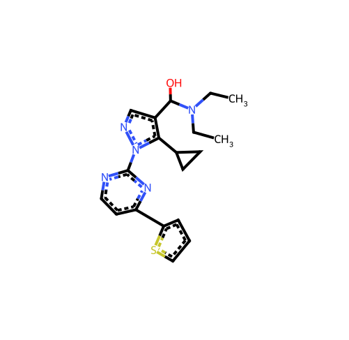 CCN(CC)C(O)c1cnn(-c2nccc(-c3cccs3)n2)c1C1CC1